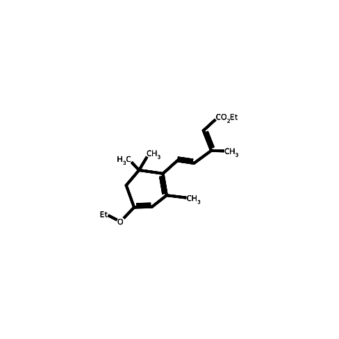 CCOC(=O)C=C(C)C=CC1=C(C)C=C(OCC)CC1(C)C